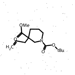 C=CCC1(C(=O)OC)CCCN(C(=O)OC(C)(C)C)C1